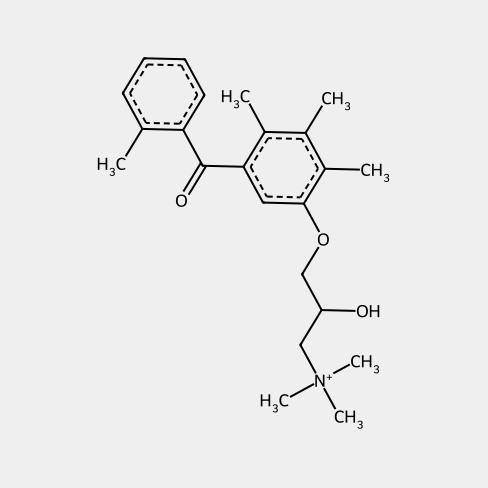 Cc1ccccc1C(=O)c1cc(OCC(O)C[N+](C)(C)C)c(C)c(C)c1C